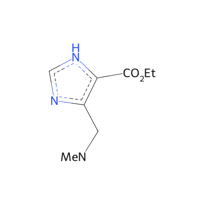 CCOC(=O)c1[nH]cnc1CNC